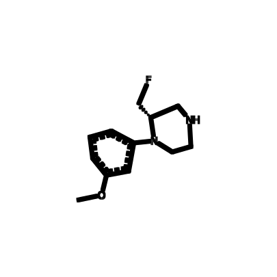 COc1cccc(N2CCNC[C@H]2CF)c1